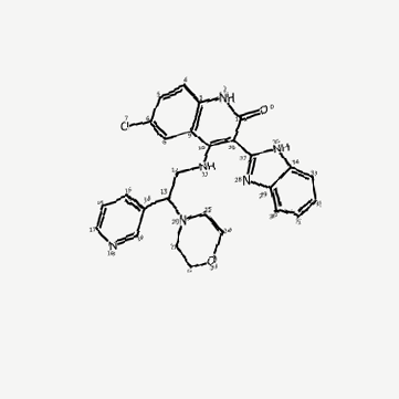 O=c1[nH]c2ccc(Cl)cc2c(NCC(c2cccnc2)N2CCOCC2)c1-c1nc2ccccc2[nH]1